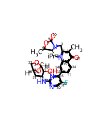 Cc1c(CN2C[C@@H](C)OC2=O)n(C(C)C)c2cc(-c3nc(N[C@@H]4C[C@H]5CO[C@H](O5)[C@H]4O)ncc3F)ccc2c1=O